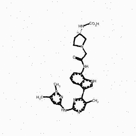 Cc1cnc(Nc2cc(C)n(C)n2)nc1-c1c[nH]c2c(NC(=O)CN3CC[C@H](NC(=O)O)C3)cccc12